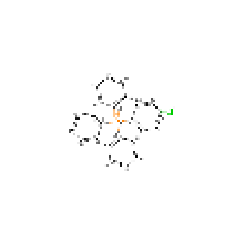 Cl.c1ccc([PH](c2ccccc2)(c2ccccc2)c2ccccc2)cc1